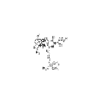 CCC(C(=O)O)n1nc(OCOCC[Si](C)(C)C)c(N[C@@H]2C[C@H]3C[C@H]([C@@H]2C)C3(C)C)c(Cl)c1=O